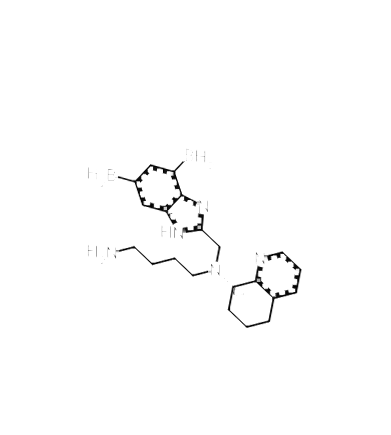 Bc1cc(B)c2nc(CN(CCCCN)[C@H]3CCCc4cccnc43)[nH]c2c1